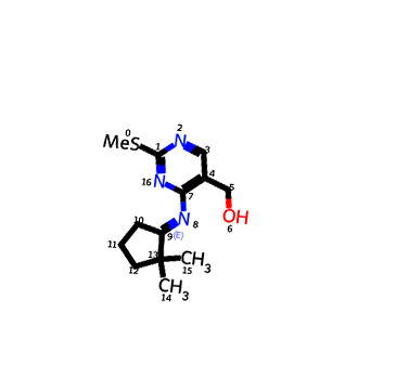 CSc1ncc(CO)c(/N=C2\CCCC2(C)C)n1